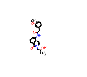 COc1cccc(CC(=O)Nc2cccc3c(=O)n(CC(C)O)ccc23)c1